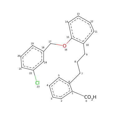 O=C(O)c1ccccc1CCCc1ccccc1OCc1cccc(Cl)c1